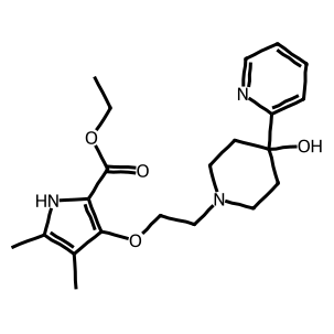 CCOC(=O)c1[nH]c(C)c(C)c1OCCN1CCC(O)(c2ccccn2)CC1